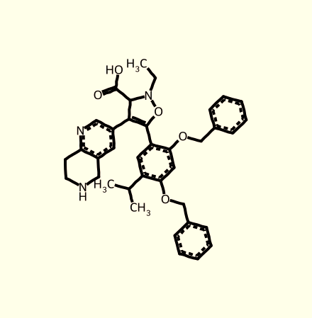 CCN1OC(c2cc(C(C)C)c(OCc3ccccc3)cc2OCc2ccccc2)=C(c2cnc3c(c2)CNCC3)C1C(=O)O